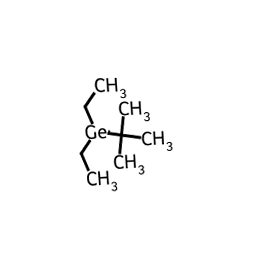 C[CH2][Ge]([CH2]C)[C](C)(C)C